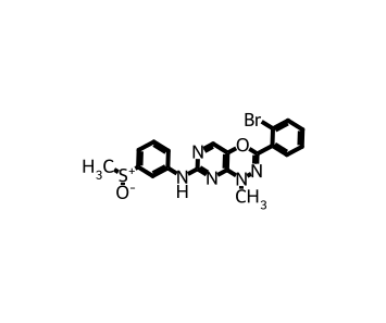 CN1N=C(c2ccccc2Br)Oc2cnc(Nc3cccc([S+](C)[O-])c3)nc21